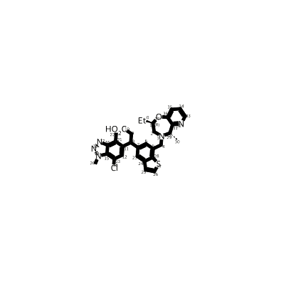 CC[C@@H]1CN(Cc2cc(C(CC(=O)O)c3cc(Cl)c4c(nnn4C)c3C)cc3ccsc23)[C@@H](C)c2ncccc2O1